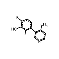 Cc1ccncc1-c1ccc(F)c(O)c1F